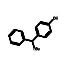 CCCCC(c1ccccc1)c1ccc(O)cc1